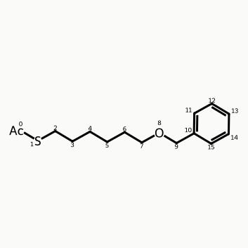 CC(=O)SCCCCCCOCc1ccccc1